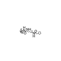 N[C@@H](CCCCNC(=O)CC1CCCC1)C(=O)Nc1nccs1